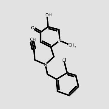 C#CCN(Cc1ccccc1Cl)Cc1cc(=O)c(O)cn1C